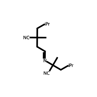 CC(C)CC(C)(C#N)C/C=N/C(C)(C#N)CC(C)C